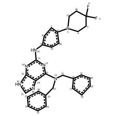 FC1(F)CCN(c2ccc(Nc3nc(N(Cc4ccccc4)Cc4ccccc4)c4nc[nH]c4n3)cc2)CC1